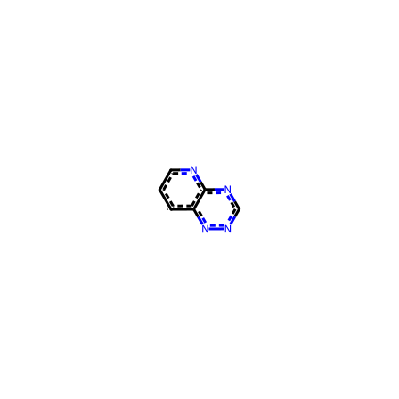 [c]1ccnc2ncnnc12